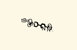 C[C@H]1COC(c2ccc(C3=CCN(C(=O)OC(C)(C)C)CC3)cn2)=N1